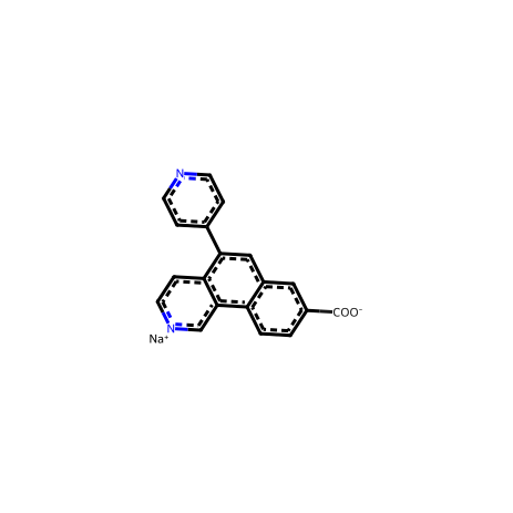 O=C([O-])c1ccc2c(c1)cc(-c1ccncc1)c1ccncc12.[Na+]